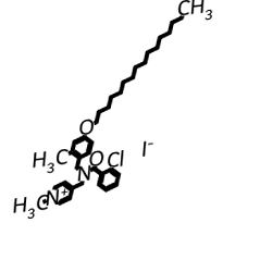 CCCCCCCCCCCCCCCCOc1ccc(CN(Cc2cc[n+](C)cc2)C(=O)c2ccccc2Cl)c(C)c1.[I-]